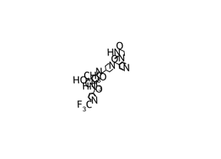 CC(C)(O)c1cc2nc(C3CCN(Cc4ccncc4N4CCC(=O)NC4=O)CC3)oc2cc1NC(=O)c1ccc(C(F)(F)F)nc1